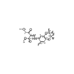 COCC(=O)C(=NNc1cc2c(cc1F)OC(F)(F)C(F)(F)O2)C(=O)OC